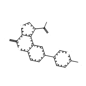 O=C(O)c1c[nH]c2c(=O)[nH]c3ccc(-c4ccc(Cl)nc4)cc3c12